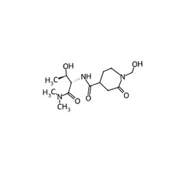 C[C@@H](O)[C@H](NC(=O)C1CCN(CO)C(=O)C1)C(=O)N(C)C